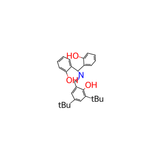 CC(C)(C)c1cc(/C=N/C(c2ccccc2O)c2ccccc2O)c(O)c(C(C)(C)C)c1